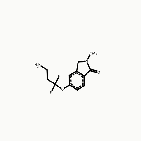 CON1Cc2cc(OC(F)(F)CCN)ccc2C1=O